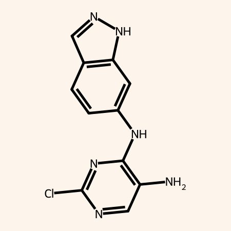 Nc1cnc(Cl)nc1Nc1ccc2cn[nH]c2c1